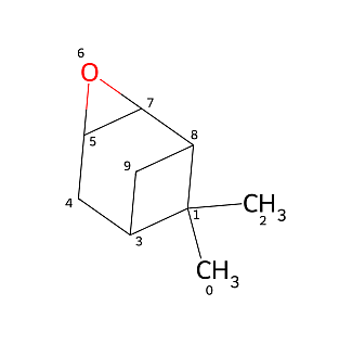 CC1(C)C2CC3OC3C1C2